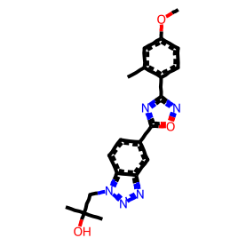 COc1ccc(-c2noc(-c3ccc4c(c3)nnn4CC(C)(C)O)n2)c(C)c1